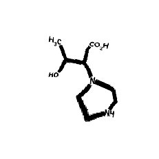 CC(O)C(C(=O)O)N1CCNCC1